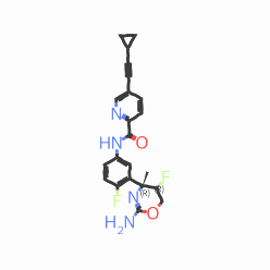 C[C@]1(c2cc(NC(=O)c3ccc(C#CC4CC4)cn3)ccc2F)N=C(N)OC[C@@H]1F